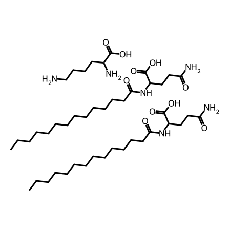 CCCCCCCCCCCCCC(=O)NC(CCC(N)=O)C(=O)O.CCCCCCCCCCCCCC(=O)NC(CCC(N)=O)C(=O)O.NCCCCC(N)C(=O)O